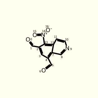 O=Cc1cc(C=O)c2cnccc2c1[N+](=O)[O-]